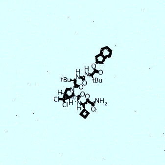 CC(C)(C)[C@@H](NC(=O)N[C@@H](C(=O)N1C[C@H]2[C@@H]([C@H]1C(=O)NC(C(=O)C(N)=O)C1CCC1)C2(Cl)Cl)C(C)(C)C)C(=O)OC1Cc2ccccc2C1